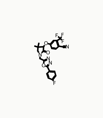 CC1(C)CN(Cc2nnc(-c3ccc(F)cc3)o2)C(=O)C1Oc1ccc(C#N)c(C(F)(F)F)c1